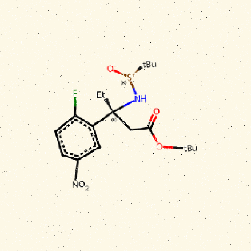 CC[C@](CC(=O)OC(C)(C)C)(N[S@@+]([O-])C(C)(C)C)c1cc([N+](=O)[O-])ccc1F